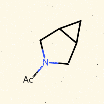 CC(=O)N1CC2CC2C1